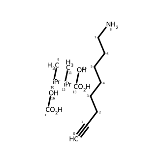 C#CCCCCCCN.CC(C)C.CC(C)C.O=C(O)O.O=C(O)O